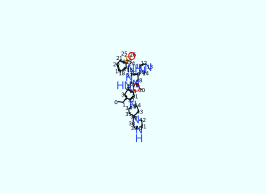 CCc1cc(Nc2ncc(-n3ccnc3)c(Nc3ccccc3P(C)(C)=O)n2)c(OC)cc1N1CCC(N2CCNCC2)CC1